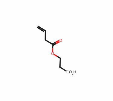 C=CCC(=O)OCCC(=O)O